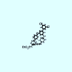 CCOC(=O)CN1CCN(c2ccc(Oc3cc(CN4CCC(CNC(C)=O)CC4)cc(-c4cc(Cl)cc(Cl)c4)n3)cn2)CC1